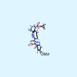 COc1ccc(C(=O)NC(C)c2ccc3c(n2)CCCN3C(=O)OC2CC2)cc1